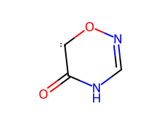 O=C1[C]ON=CN1